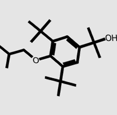 CC(C)COc1c(C(C)(C)C)cc(C(C)(C)O)cc1C(C)(C)C